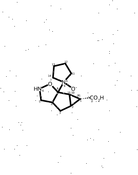 O=C(O)[C@@H]1C2CC3CNOC3([N+]3([O-])CCCC3)C21